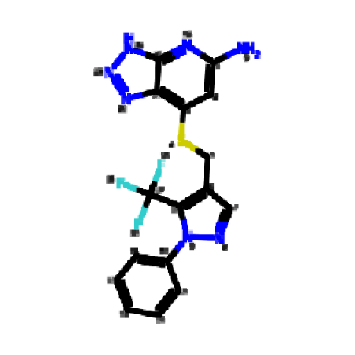 Nc1cc(SCc2cnn(-c3ccccc3)c2C(F)(F)F)c2nn[nH]c2n1